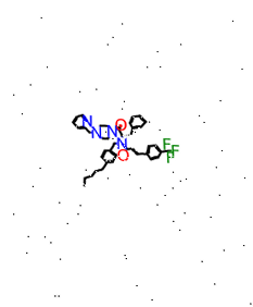 CCCCCc1ccc(CN(C(=O)C=Cc2ccc(C(F)(F)F)cc2)[C@@H](Cc2ccccc2)C(=O)N2CCN(Cc3ccccn3)CC2)cc1